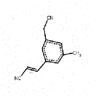 Cc1cc(/C=C/C#N)cc(CC#N)c1